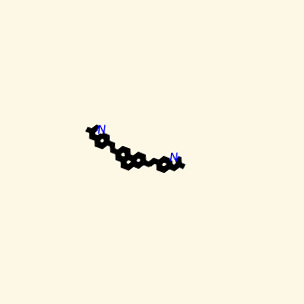 Cc1cnc2cc(/C=C/c3ccc4c(ccc5cc(CCc6ccc7cc(C)cnc7c6)ccc54)c3)ccc2c1